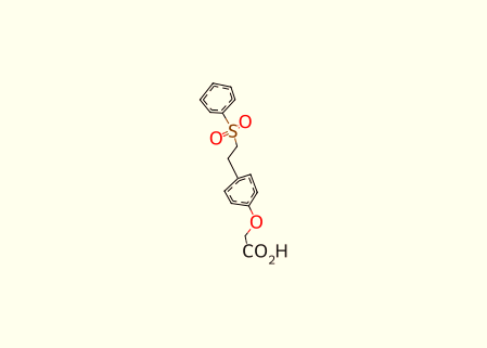 O=C(O)COc1ccc(CCS(=O)(=O)c2ccccc2)cc1